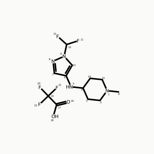 CN1CCC(Nc2cnn(C(F)F)c2)CC1.O=C(O)C(F)(F)F